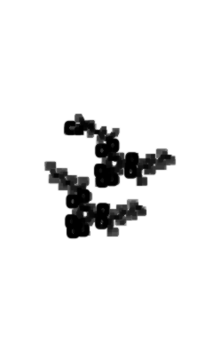 CCCCCCC(C)OC(=O)c1cc(C(=O)OC(C)CCCCCC)cc(S(=O)(=O)[O-])c1.CCCCCCC(C)OC(=O)c1cc(C(=O)OC(C)CCCCCC)cc(S(=O)(=O)[O-])c1.[Ca+2]